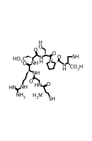 N=C(N)NCCC[C@H](NC(=O)CNC(=O)[C@@H](N)CS)C(=O)N[C@@H](CC(=O)O)C(=O)N[C@@H](CO)C(=O)N1CCC[C@H]1C(=O)N[C@@H](CS)C(=O)O